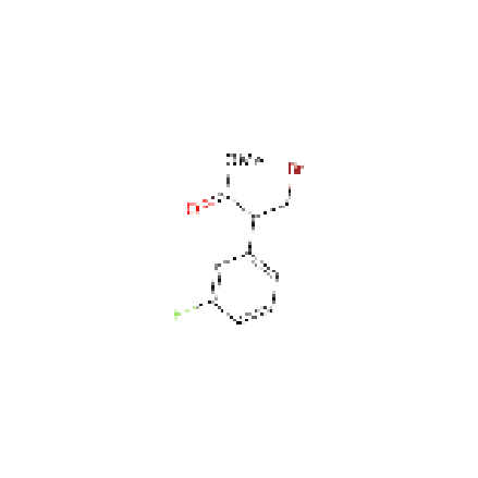 COC(=O)C(CBr)c1cccc(F)c1